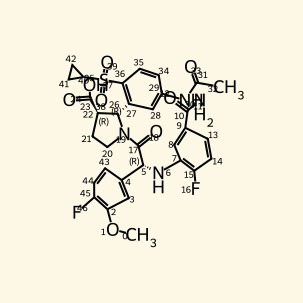 COc1cc([C@@H](Nc2cc(C(N)=O)ccc2F)C(=O)N2CC[C@@H](C(=O)O)[C@@H]2c2cc(NC(C)=O)ccc2S(=O)(=O)C2CC2)ccc1F